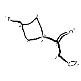 O=C(CCl)N1CC(F)C1